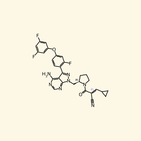 N#C/C(=C\C1CC1)C(=O)N1CCC[C@@H]1Cn1nc(-c2ccc(Oc3cc(F)cc(F)c3)cc2F)c2c(N)ncnc21